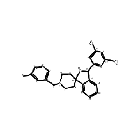 Cc1cccc(CN2CCC3(CC2)OC(c2cc(Cl)cc(Cl)c2)c2ccccc23)c1